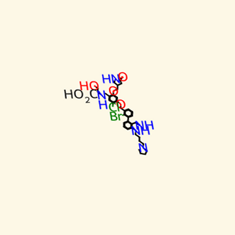 N=Cc1c(NCCCCN2CCCC2)cccc1-c1cccc(COc2cc(OCC3CNC(=O)C3)c(CNC(CO)C(=O)O)cc2Cl)c1Br